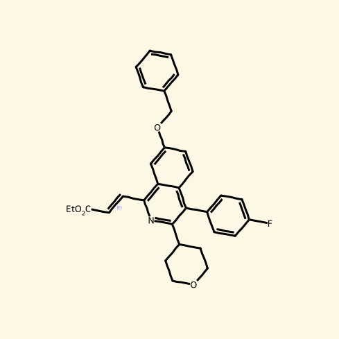 CCOC(=O)/C=C/c1nc(C2CCOCC2)c(-c2ccc(F)cc2)c2ccc(OCc3ccccc3)cc12